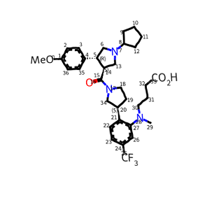 COc1ccc([C@@H]2CN(C3CCCC3)C[C@H]2C(=O)N2CC[C@@H](c3ccc(C(F)(F)F)cc3N(C)CCCC(=O)O)C2)cc1